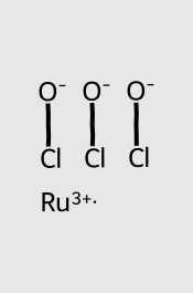 [O-]Cl.[O-]Cl.[O-]Cl.[Ru+3]